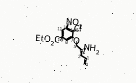 C=CC[C@@H](N)COc1cc(C(=O)OCC)cc([N+](=O)[O-])c1Cl